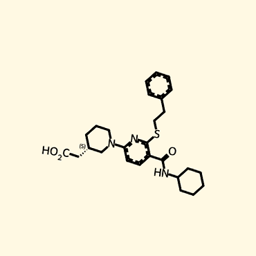 O=C(O)C[C@@H]1CCCN(c2ccc(C(=O)NC3CCCCC3)c(SCCc3ccccc3)n2)C1